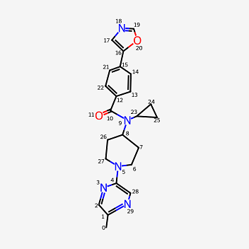 Cc1cnc(N2CCC(N(C(=O)c3ccc(-c4cnco4)cc3)C3CC3)CC2)cn1